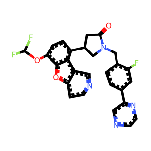 O=C1CC(c2ccc(OC(F)F)c3oc4ccncc4c23)CN1Cc1ccc(-c2cnccn2)cc1F